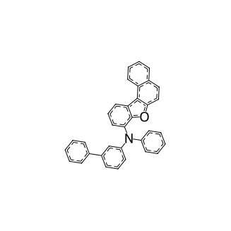 c1ccc(-c2cccc(N(c3ccccc3)c3cccc4c3oc3ccc5ccccc5c34)c2)cc1